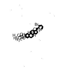 CC(C)(C)[Si](C)(C)Oc1ccc2c(c1)CC[C@@H]1[C@@H]2CC[C@]2(C)C(=Cc3ncccc3Br)CC[C@@H]12